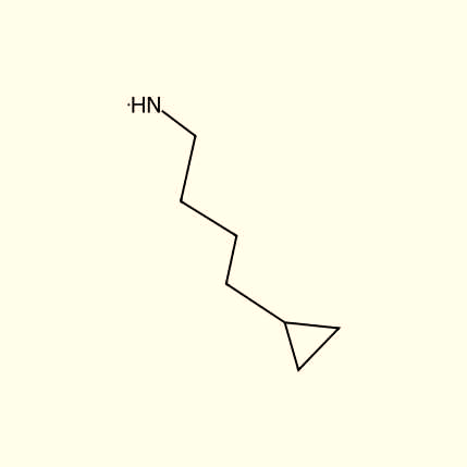 [NH]CCCCC1CC1